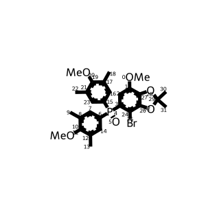 COc1cc(P(=O)(c2cc(C)c(OC)c(C)c2)c2cc(C)c(OC)c(C)c2)c(Br)c2c1OC(C)(C)O2